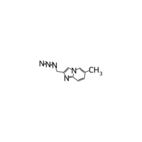 Cc1ccc2nc(CN=[N+]=[N-])cn2c1